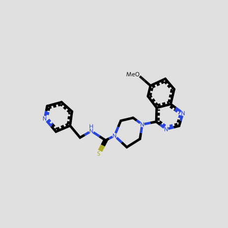 COc1ccc2ncnc(N3CCN(C(=S)NCc4cccnc4)CC3)c2c1